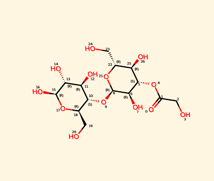 O=C(CO)O[C@@H]1[C@@H](O)[C@@H](O[C@H]2[C@H](O)[C@@H](O)[C@H](O)O[C@@H]2CO)O[C@H](CO)[C@H]1O